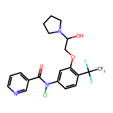 O=C(c1cccnc1)N(Cl)c1ccc(C(F)(F)C(F)(F)F)c(OCC(O)N2CCCC2)c1